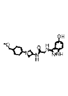 COCC1CCC(N2CC(NC(=O)CNc3n[nH]c4ccc(O)cc34)C2)CC1